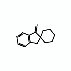 O=C1c2cnccc2CC12CCCCC2